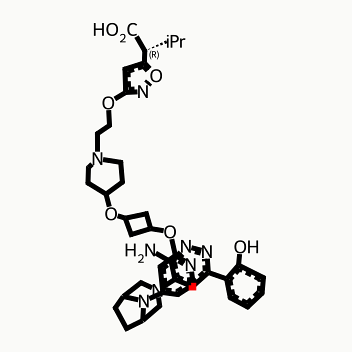 CC(C)[C@@H](C(=O)O)c1cc(OCCN2CCC(OC3CC(Oc4cc(N5C6CCC5CN(c5cc(-c7ccccc7O)nnc5N)C6)ccn4)C3)CC2)no1